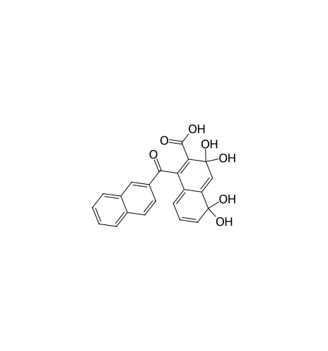 O=C(O)C1=C(C(=O)c2ccc3ccccc3c2)C2=CC=CC(O)(O)C2=CC1(O)O